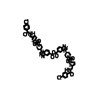 O=C(NCc1ccc(S(=O)(=O)N2CCC(n3nnc4cc(C(=O)OC(=O)c5ccc6nnn(C7CCN(S(=O)(=O)c8ccc(CNC(=O)c9ccc(Cl)cc9)s8)CC7)c6c5)ccc43)CC2)s1)c1ccc(Cl)cc1